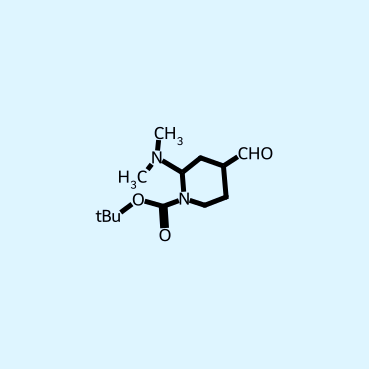 CN(C)C1CC(C=O)CCN1C(=O)OC(C)(C)C